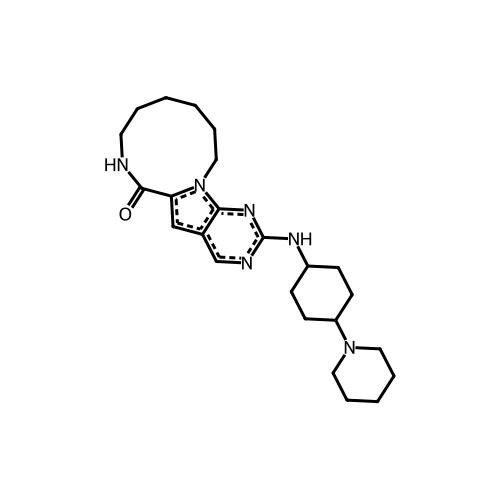 O=C1NCCCCCCn2c1cc1cnc(NC3CCC(N4CCCCC4)CC3)nc12